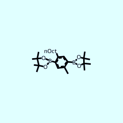 CCCCCCCCc1cc(B2OC(C)(C)C(C)(C)O2)c(C)cc1B1OC(C)(C)C(C)(C)O1